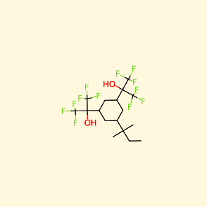 CCC(C)(C)C1CC(C(O)(C(F)(F)F)C(F)(F)F)CC(C(O)(C(F)(F)F)C(F)(F)F)C1